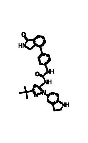 CC(C)(C)c1cc(NC(=O)Nc2ccc(-c3cccc4c3CNC4=O)cc2)n(-c2ccc3c(c2)CCN3)n1